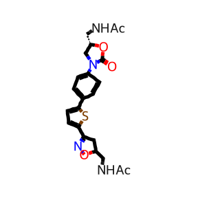 CC(=O)NCC1CC(c2ccc(-c3ccc(N4C[C@H](CNC(C)=O)OC4=O)cc3)s2)=NO1